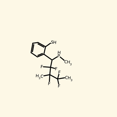 CPC(c1ccccc1S)C(F)(F)C(C)(F)C(C)(F)F